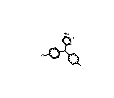 Cl.Clc1ccc(C(c2ccc(Cl)cc2)c2cc[nH]n2)cc1